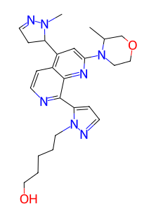 CC1COCCN1c1cc(C2CC=NN2C)c2ccnc(-c3ccnn3CCCCCO)c2n1